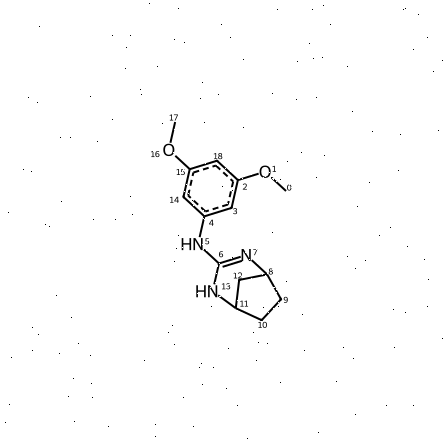 COc1cc(NC2=NC3CCC(C3)N2)cc(OC)c1